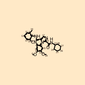 COc1cc2nc(Nc3c(C)cccc3Cl)c3cnc(C(=O)NC4CCCCC4)n3c2cc1OC